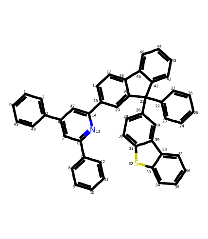 c1ccc(-c2cc(-c3ccccc3)nc(-c3ccc4c(c3)C(c3ccccc3)(c3ccc5sc6ccccc6c5c3)c3ccccc3-4)c2)cc1